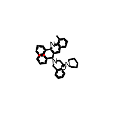 Cc1cccc2cc(C(c3ccccc3)N(CC(=O)N3CCCCC3)Cc3ccccc3)c(-c3ccccc3)nc12